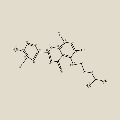 CC(C)CCCNc1c(F)cc(F)c2oc(-c3ccc(N)c(F)c3)cc(=O)c12